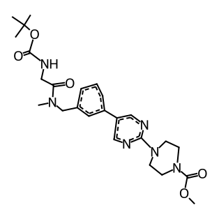 COC(=O)N1CCN(c2ncc(-c3cccc(CN(C)C(=O)CNC(=O)OC(C)(C)C)c3)cn2)CC1